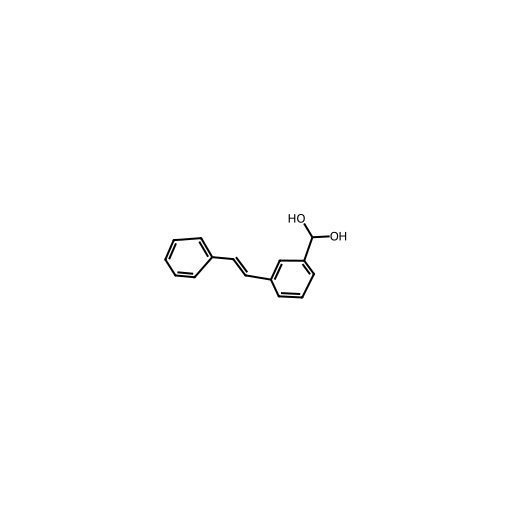 OC(O)c1cccc(C=Cc2ccccc2)c1